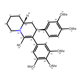 COc1ccc([C@@H]2C[C@H]3CCCCN3C(C#N)=C2c2cc(OC)c(OC)c(OC)c2)cc1OC